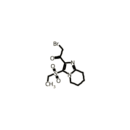 CCS(=O)(=O)c1c(C(=O)CBr)nc2n1CCCC2